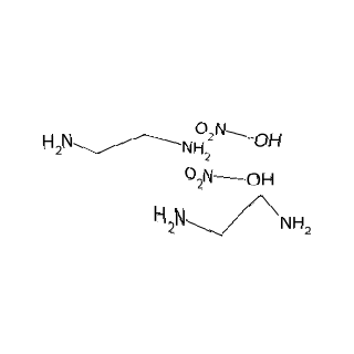 NCCN.NCCN.O=[N+]([O-])O.O=[N+]([O-])O